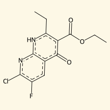 CCOC(=O)c1c(CC)[nH]c2nc(Cl)c(F)cc2c1=O